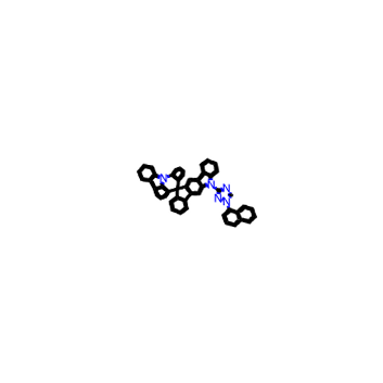 c1ccc2c(c1)-c1cc3c(cc1C21c2ccccc2-n2c4ccccc4c4cccc1c42)c1ccccc1n3-c1ncn(-c2cccc3ccccc23)n1